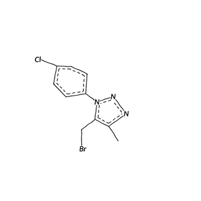 Cc1nnn(-c2ccc(Cl)cc2)c1CBr